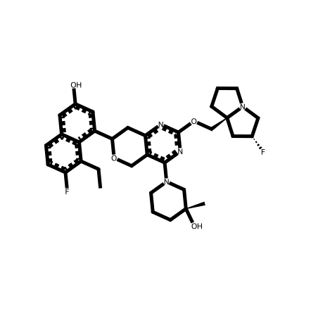 CCc1c(F)ccc2cc(O)cc(C3Cc4nc(OC[C@@]56CCCN5C[C@H](F)C6)nc(N5CCC[C@@](C)(O)C5)c4CO3)c12